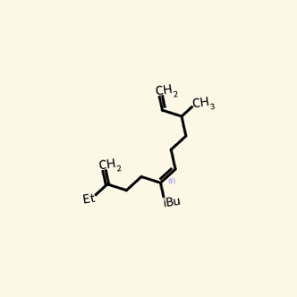 C=CC(C)CC/C=C(\CCC(=C)CC)C(C)CC